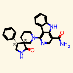 NC(=O)c1cnc(N2CCC[C@@]3(C2)C(=O)NC[C@@H]3c2ccccc2)c2c1[nH]c1ccccc12